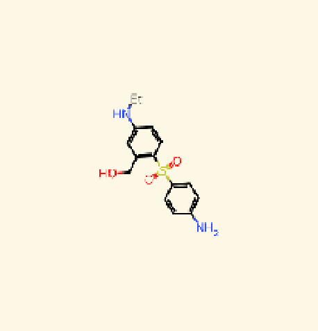 CCNc1ccc(S(=O)(=O)c2ccc(N)cc2)c(CO)c1